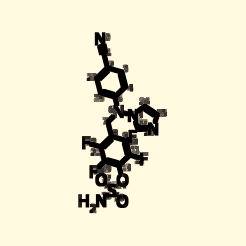 N#Cc1ccc(N(Cc2c(F)c(F)c(OS(N)(=O)=O)c(F)c2F)n2ccnc2)cc1